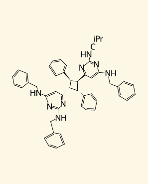 CC(C)CNc1nc(NCc2ccccc2)cc([C@H]2[C@H](c3ccccc3)[C@H](c3cc(NCc4ccccc4)nc(NCc4ccccc4)n3)[C@H]2c2ccccc2)n1